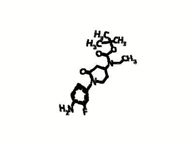 CCN(C(=O)OC(C)(C)C)C1CCN(c2ccc(N)c(F)c2)C(=O)C1